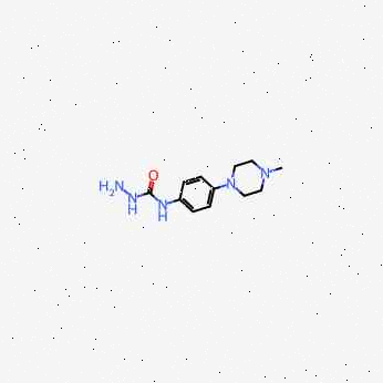 CN1CCN(c2ccc(NC(=O)NN)cc2)CC1